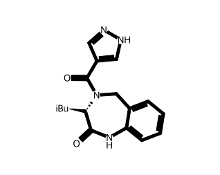 CC[C@H](C)[C@H]1C(=O)Nc2ccccc2CN1C(=O)c1cn[nH]c1